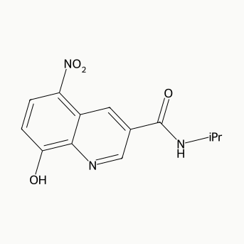 CC(C)NC(=O)c1cnc2c(O)ccc([N+](=O)[O-])c2c1